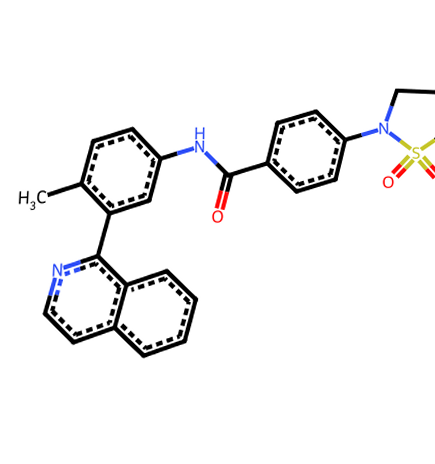 Cc1ccc(NC(=O)c2ccc(N3CCCS3(=O)=O)cc2)cc1-c1nccc2ccccc12